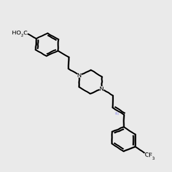 O=C(O)c1ccc(CCN2CCN(C/C=C/c3cccc(C(F)(F)F)c3)CC2)cc1